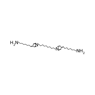 NCCCCCCCC=C1C=CN(CCCCCCCCCCN2C=CC(=CCCCCCCCN)C=C2)C=C1